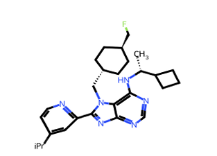 CC(C)c1ccnc(-c2nc3ncnc(N[C@H](C)C4CCC4)c3n2C[C@H]2CC[C@H](CF)CC2)c1